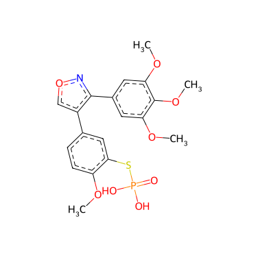 COc1ccc(-c2conc2-c2cc(OC)c(OC)c(OC)c2)cc1SP(=O)(O)O